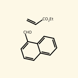 C=CC(=O)OCC.O=Cc1cccc2ccccc12